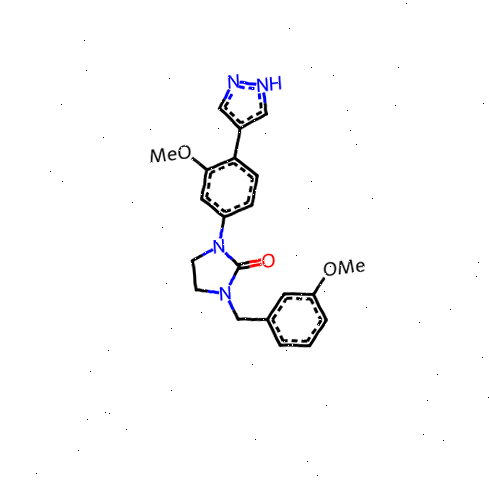 COc1cccc(CN2CCN(c3ccc(-c4cn[nH]c4)c(OC)c3)C2=O)c1